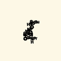 CC#CCn1c(N2CCCC(NC(=O)OC(C)(C)C)C2)nc2c1c(=O)n(CC(=O)c1ccccc1OCC(=O)NC(C)C)c(=O)n2C